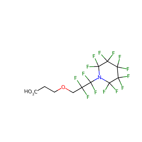 O=C(O)CCOCC(F)(F)C(F)(F)N1C(F)(F)C(F)(F)C(F)(F)C(F)(F)C1(F)F